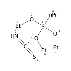 N=C=S.[CH2]CC[Si](OCC)(OCC)OCC